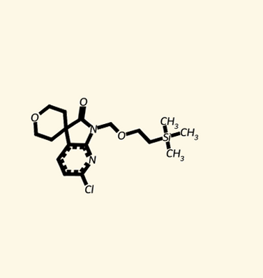 C[Si](C)(C)CCOCN1C(=O)C2(CCOCC2)c2ccc(Cl)nc21